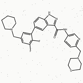 O=C(Nc1ccc(CN2CCOCC2)nc1)c1n[nH]c2ccc(-c3cc(CN4CCCCC4)cc(F)c3F)cc12